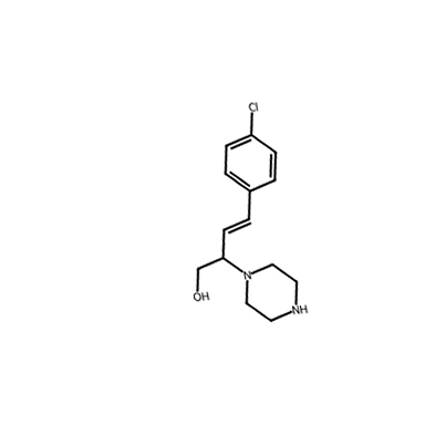 OCC(/C=C/c1ccc(Cl)cc1)N1CCNCC1